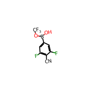 N#Cc1c(F)cc(B(O)OC(F)(F)F)cc1F